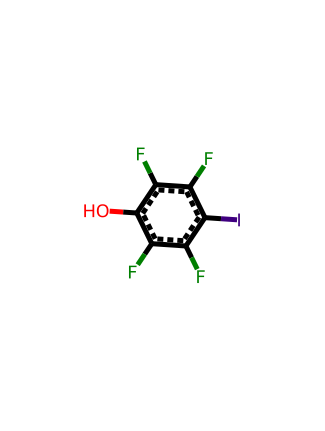 Oc1c(F)c(F)c(I)c(F)c1F